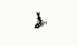 Cc1ccc(S(=O)(=O)N[C@H](C)CN2CC(C#N)C2)cc1